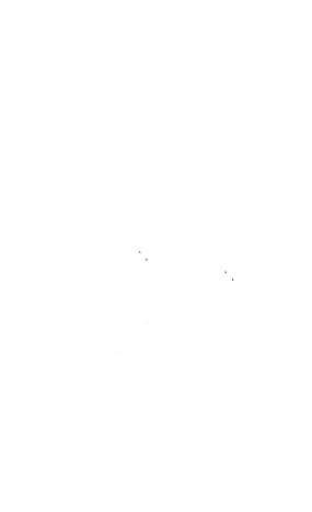 Ic1ccc2c(c1)nc1n2-c2ccccc2C12c1ccccc1Sc1ccccc12